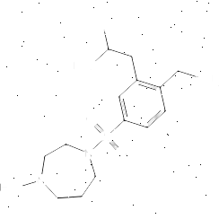 CCc1ccc(S(=O)(=O)N2CCCN(C)CC2)cc1CC(C)C